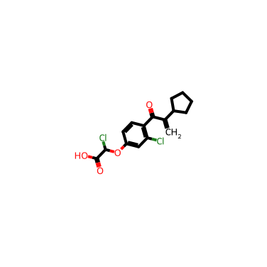 C=C(C(=O)c1ccc(OC(Cl)C(=O)O)cc1Cl)C1CCCC1